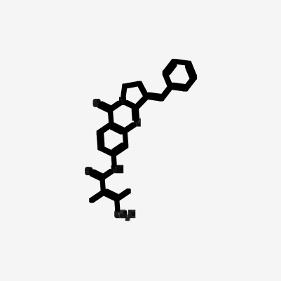 CC(C(=O)O)=C(C)C(=O)Nc1ccc2c(=O)n3c(nc2c1)C(=Cc1ccccc1)CC3